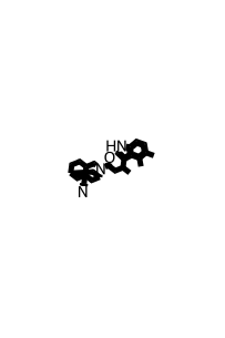 Cc1ccc2[nH]cc(C(C)CC(=O)N3CC4CCC5CC3CC4(C#N)C5)c2c1C